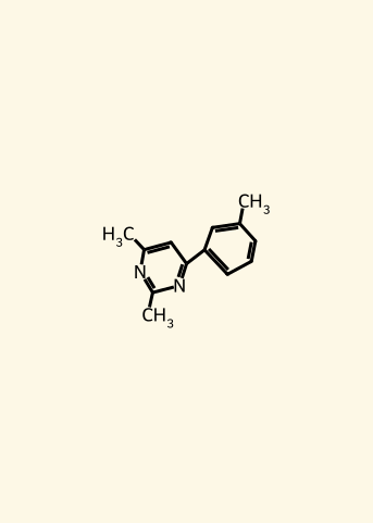 Cc1cccc(-c2cc(C)nc(C)n2)c1